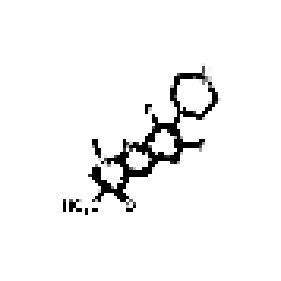 Cn1cc(C(=O)O)c(=O)c2cc3cc(F)c(N4CCCNCC4)c(F)c3nc21